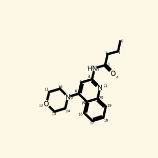 CCCC(=O)Nc1cc(N2CCOCC2)c2ccccc2n1